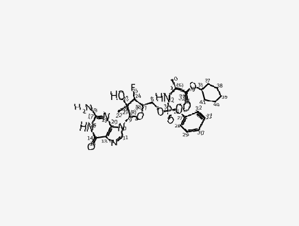 C[C@H](NP(=O)(OC[C@H]1O[C@@H](n2cnc3c(=O)[nH]c(N)nc32)[C@](C)(O)C1F)Oc1ccccc1)C(=O)OC1CCCCC1